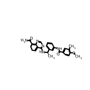 COc1ccc(C(=O)Nc2cccc([C@@H](C)Nc3ncnc4c3=CCCC=4C(N)=O)c2)cc1C